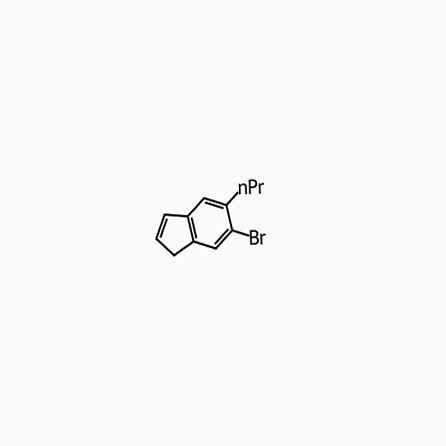 CCCc1cc2c(cc1Br)CC=C2